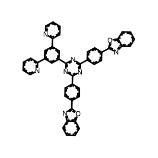 c1ccc(-c2cc(-c3ccccn3)cc(-c3nc(-c4ccc(-c5nc6ccccc6o5)cc4)nc(-c4ccc(-c5nc6ccccc6o5)cc4)n3)c2)nc1